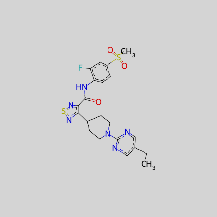 CCc1cnc(N2CCC(c3nsnc3C(=O)Nc3ccc(S(C)(=O)=O)cc3F)CC2)nc1